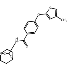 Cc1csc(Oc2ccc(C(=O)NC3CC4CCN(CC4)C3)cc2)c1